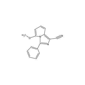 COc1cccc2c(C#N)nc(-c3ccccc3)n12